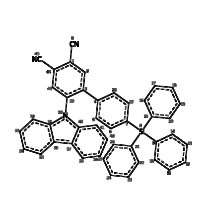 N#Cc1cc(-c2ccc([Si](c3ccccc3)(c3ccccc3)c3ccccc3)cc2)c(-n2c3ccccc3c3ccccc32)cc1C#N